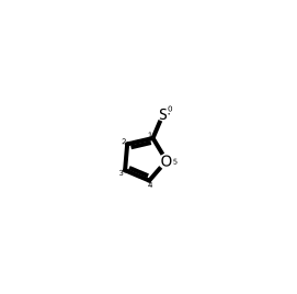 [S]c1ccco1